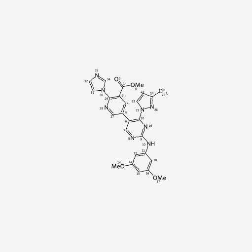 COC(=O)c1cc(-c2cnc(Nc3cc(OC)cc(OC)c3)nc2-n2ccc(C(F)(F)F)n2)cnc1-n1ccnc1